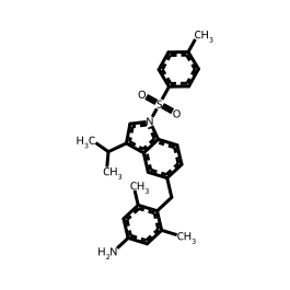 Cc1ccc(S(=O)(=O)n2cc(C(C)C)c3cc(Cc4c(C)cc(N)cc4C)ccc32)cc1